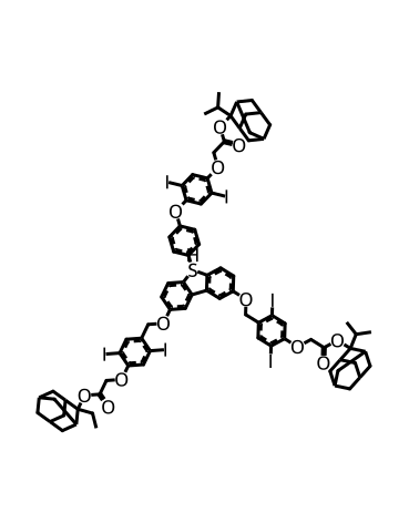 CCC1(OC(=O)COc2cc(I)c(COc3ccc4c(c3)-c3cc(OCc5cc(I)c(OCC(=O)OC6(C(C)C)C7CC8CC(C7)CC6C8)cc5I)ccc3[SH]4c3ccc(Oc4cc(I)c(OCC(=O)OC5(C(C)C)C6CC7CC(C6)CC5C7)cc4I)cc3)cc2I)C2CC3CC(C2)CC1C3